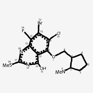 CNC1CCCC1COc1c(Cl)c(Br)c(F)c2nc(SC)nc(O)c12